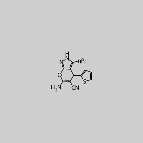 CCCc1[nH]nc2c1C(c1cccs1)C(C#N)=C(N)O2